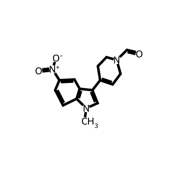 Cn1cc(C2=CCN(C=O)CC2)c2cc([N+](=O)[O-])ccc21